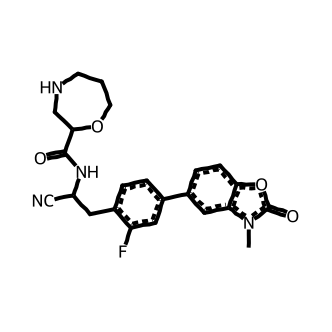 Cn1c(=O)oc2ccc(-c3ccc(CC(C#N)NC(=O)C4CNCCCO4)c(F)c3)cc21